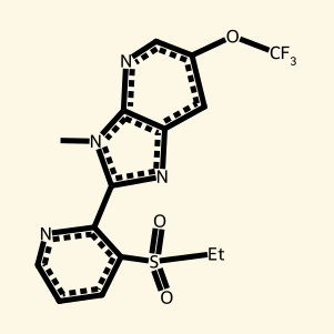 CCS(=O)(=O)c1cccnc1-c1nc2cc(OC(F)(F)F)cnc2n1C